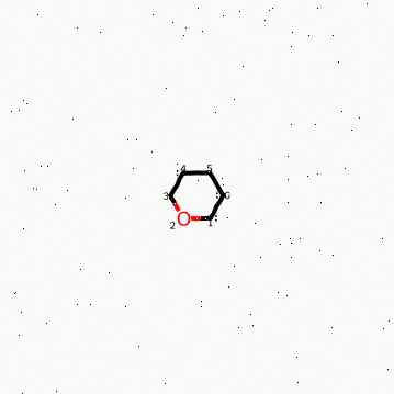 [C]1[C]OC[C]C1